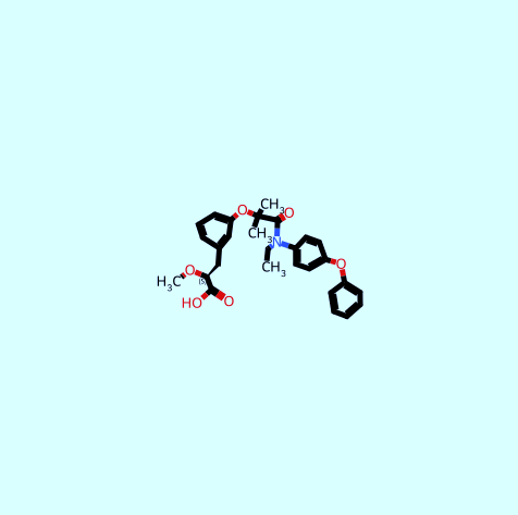 CCN(C(=O)C(C)(C)Oc1cccc(C[C@H](OC)C(=O)O)c1)c1ccc(Oc2ccccc2)cc1